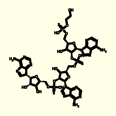 Nc1ncnc2c1ncn2[C@@H]1O[C@H](COP(O)(=S)O[C@H]2C(O)[C@@H](COP(O)(=S)O[C@H]3C(O)[C@@H](COP(O)(=S)OCCO)O[C@H]3n3cnc4c(N)ncnc43)O[C@H]2n2cnc3c(N)ncnc32)C(O)[C@@H]1O